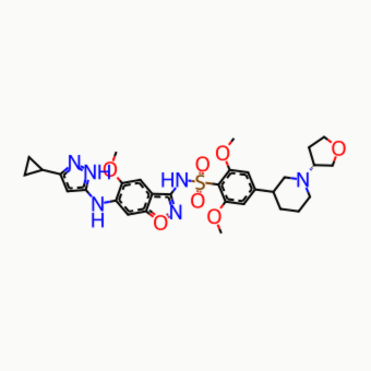 COc1cc2c(NS(=O)(=O)c3c(OC)cc(C4CCCN([C@@H]5CCOC5)C4)cc3OC)noc2cc1Nc1cc(C2CC2)n[nH]1